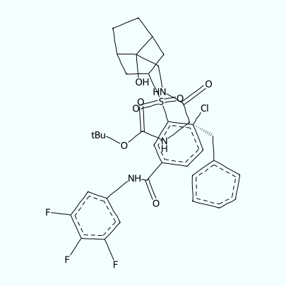 CC(C)(C)OC(=O)N[C@@H](Cc1ccccc1)C(=O)NCC1(O)C2CCC1CC(S(=O)(=O)c1cc(C(=O)Nc3cc(F)c(F)c(F)c3)ccc1Cl)C2